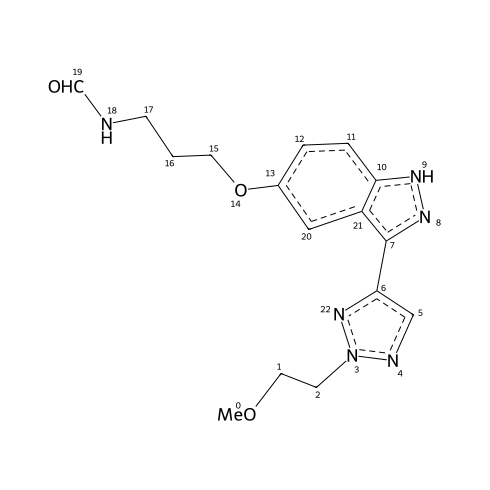 COCCn1ncc(-c2n[nH]c3ccc(OCCCNC=O)cc23)n1